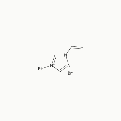 C=Cn1c[n+](CC)cn1.[Br-]